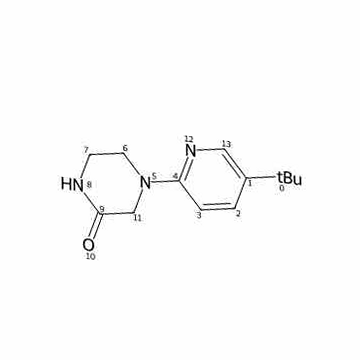 CC(C)(C)c1ccc(N2CCNC(=O)C2)nc1